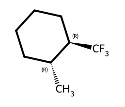 C[C@@H]1CCCC[C@H]1C(F)(F)F